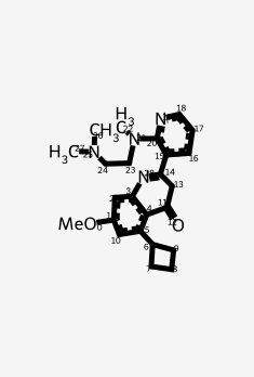 COc1cc2c(c(C3CCC3)c1)C(=O)CC(c1cccnc1N(C)CCN(C)C)=N2